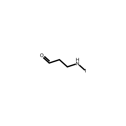 O=CCCNI